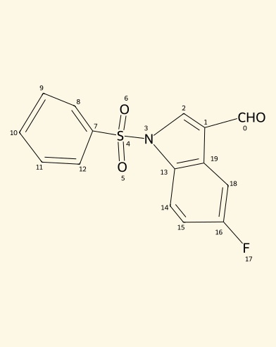 O=Cc1cn(S(=O)(=O)c2ccccc2)c2ccc(F)cc12